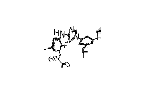 CC(=O)NCc1cc(C)cc(Nc2ncn(-c3cc(F)cc(F)c3)n2)c1F